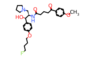 COc1ccc(C(=O)CCCC(=O)N[C@H](CN2CCCC2)[C@H](O)c2ccc(OCCCCF)cc2)cc1